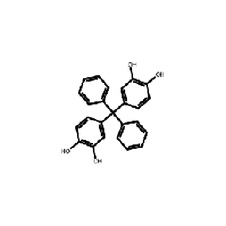 Oc1ccc(C(c2ccccc2)(c2ccccc2)c2ccc(O)c(O)c2)cc1O